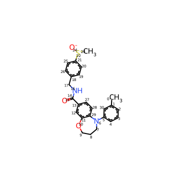 Cc1cccc(N2CCCOc3cc(C(=O)NCc4ccc([S+](C)[O-])cc4)ccc32)c1